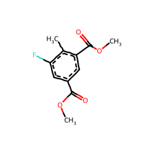 COC(=O)c1cc(F)c(C)c(C(=O)OC)c1